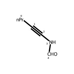 CCCC#CNC=O